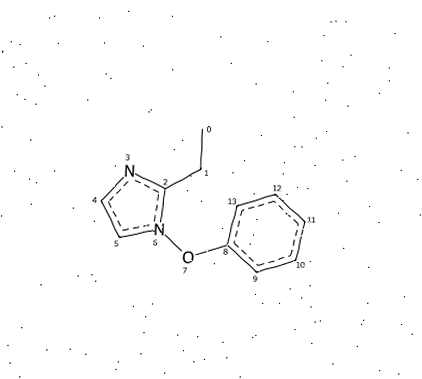 CCc1nccn1Oc1ccccc1